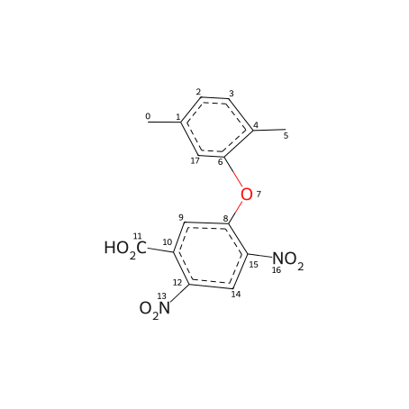 Cc1ccc(C)c(Oc2cc(C(=O)O)c([N+](=O)[O-])cc2[N+](=O)[O-])c1